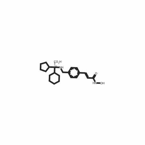 O=C(C=Cc1ccc(CN[C@@](C(=O)O)(C2CCCCC2)C2CCCC2)cc1)NO